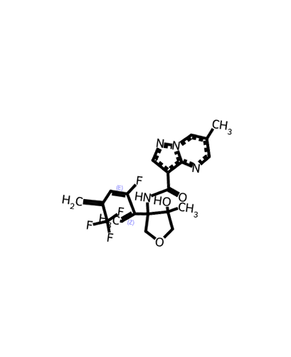 C=C(/C=C(F)\C(=C/C)C1(NC(=O)c2cnn3cc(C)cnc23)COCC1(C)O)C(F)(F)F